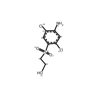 Nc1cc(Cl)c(S(=O)(=O)CCO)cc1Cl